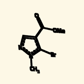 COC(=O)c1cnn(C)c1Br